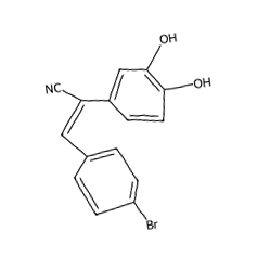 N#CC(=Cc1ccc(Br)cc1)c1ccc(O)c(O)c1